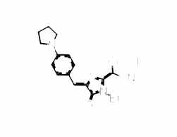 CCn1c(=O)/c(=C/c2ccc(N3CCCC3)cc2)s/c1=C(/C#N)C(=O)O